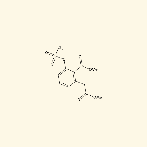 COC(=O)Cc1cccc(OS(=O)(=O)C(F)(F)F)c1C(=O)OC